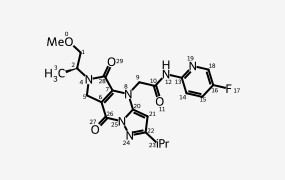 COC[C@H](C)N1Cc2c(n(CC(=O)Nc3ccc(F)cn3)c3cc(C(C)C)nn3c2=O)C1=O